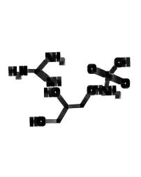 N=C(N)N.NS(=O)(=O)O.OCC(O)CO